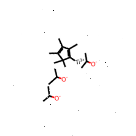 CC(C)[O-].CC(C)[O-].CC(C)[O-].CC1=C(C)C(C)(C)[C]([Ti+3])=C1C